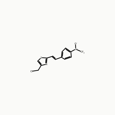 [O-][S+](c1ccc(/C=C/c2nc(CCl)cs2)cc1)C(F)(F)F